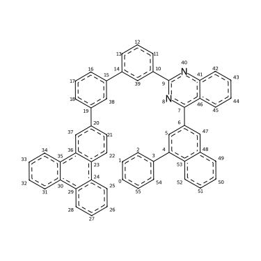 c1ccc(-c2cc(-c3nc(-c4cccc(-c5cccc(-c6ccc7c8ccccc8c8ccccc8c7c6)c5)c4)nc4ccccc34)cc3ccccc23)cc1